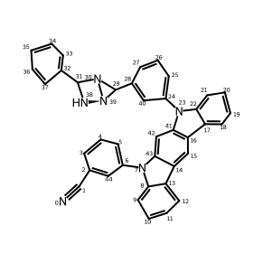 N#Cc1cccc(-n2c3ccccc3c3cc4c5ccccc5n(-c5cccc(C6N7C(c8ccccc8)N[N@]67)c5)c4cc32)c1